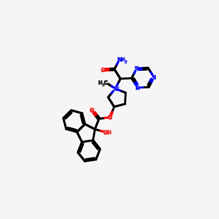 C[N+]1(C(C(N)=O)c2ncncn2)CC[C@@H](OC(=O)C2(O)c3ccccc3-c3ccccc32)C1